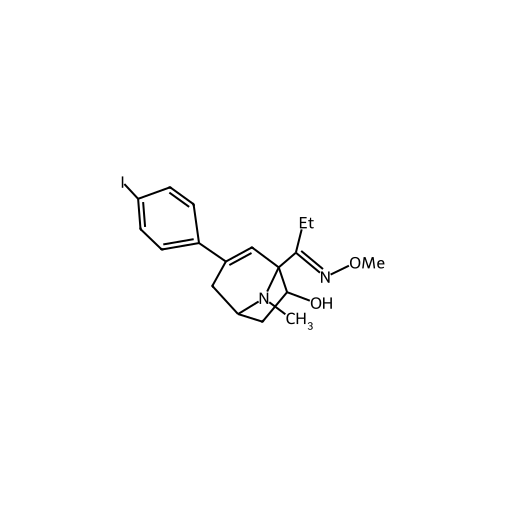 CCC(=NOC)C12C=C(c3ccc(I)cc3)CC(CC1O)N2C